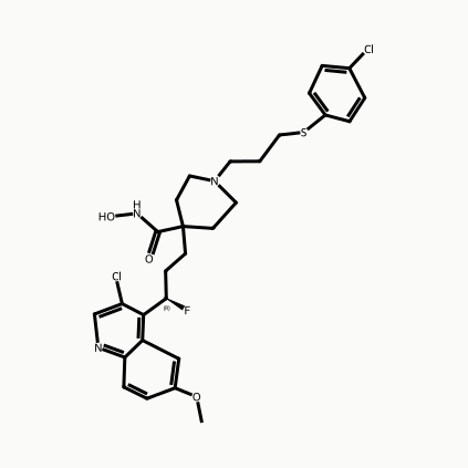 COc1ccc2ncc(Cl)c([C@H](F)CCC3(C(=O)NO)CCN(CCCSc4ccc(Cl)cc4)CC3)c2c1